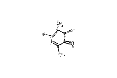 CC1=CC(C(C)C)=C(C)C(=O)C1=O